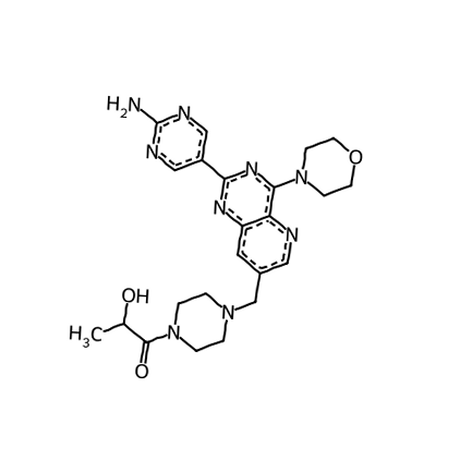 CC(O)C(=O)N1CCN(Cc2cnc3c(N4CCOCC4)nc(-c4cnc(N)nc4)nc3c2)CC1